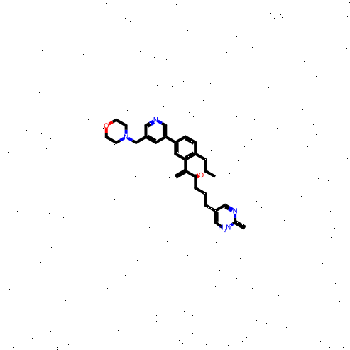 C=C(N)/N=C\C(=C/C)CCCC(=O)C(=C)c1cc(-c2cncc(CN3CCOCC3)c2)ccc1CCC